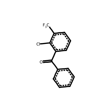 O=C(c1[c]cccc1)c1cccc(C(F)(F)F)c1Cl